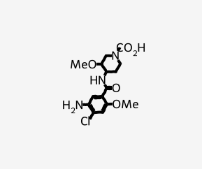 COc1cc(Cl)c(N)cc1C(=O)NC1CCN(C(=O)O)CC1OC